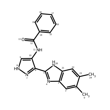 Cc1cc2nc(-c3n[nH]cc3NC(=O)c3ccccc3)[nH]c2cc1C